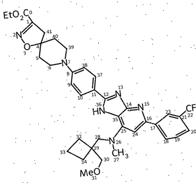 CCOC(=O)C1=NOC2(CCN(c3ccc(-c4nc5nc(-c6cccc(C(F)(F)F)c6)cc(N(C)CC6(COC)CCC6)c5[nH]4)cc3)CC2)C1